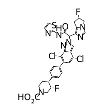 O=C(Nc1nccs1)C(c1ncn2c1C[C@@H](F)C2)n1cc2c(Cl)cc(-c3ccc([C@@H]4CCN(C(=O)O)C[C@H]4F)cc3)c(Cl)c2n1